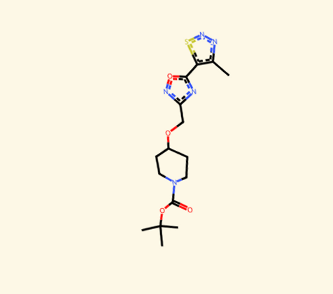 Cc1nnsc1-c1nc(COC2CCN(C(=O)OC(C)(C)C)CC2)no1